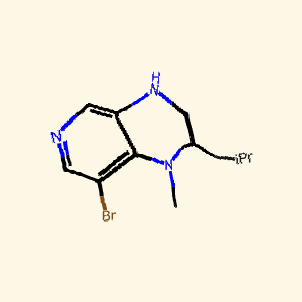 CC(C)C1CNc2cncc(Br)c2N1C